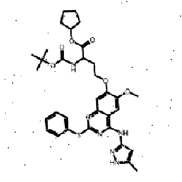 COc1cc2c(Nc3cc(C)[nH]n3)nc(Sc3ccccc3)nc2cc1OCCC(NC(=O)OC(C)(C)C)C(=O)OC1CCCC1